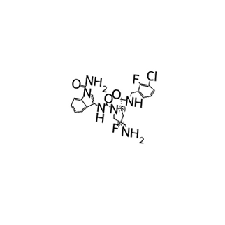 NC[C@]1(F)C[C@@H](C(=O)NCc2cccc(Cl)c2F)N(C(=O)Nc2cn(C(N)=O)c3ccccc23)C1